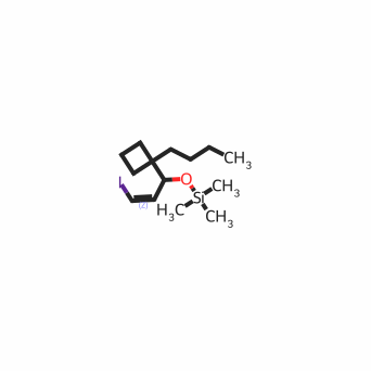 CCCCC1(C(/C=C\I)O[Si](C)(C)C)CCC1